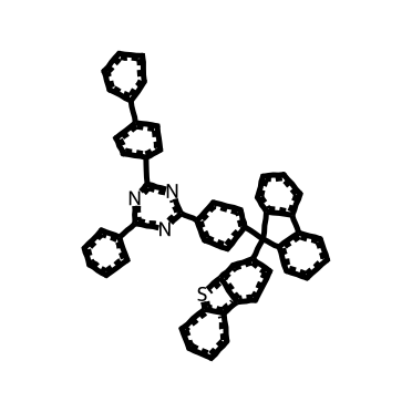 c1ccc(-c2ccc(-c3nc(-c4ccccc4)nc(-c4ccc(C5(c6ccc7c(c6)sc6ccccc67)c6ccccc6-c6ccccc65)cc4)n3)cc2)cc1